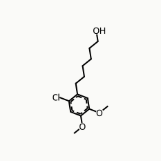 COc1cc(Cl)c(CCCCCCO)cc1OC